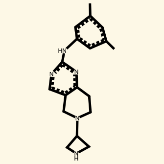 Cc1cc(C)cc(Nc2ncc3c(n2)CCN(C2CNC2)C3)c1